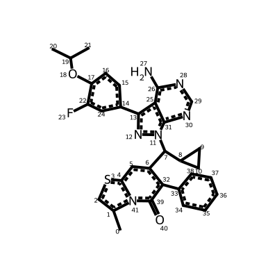 Cc1csc2cc(C(C3CC3)n3nc(-c4ccc(OC(C)C)c(F)c4)c4c(N)ncnc43)c(-c3ccccc3)c(=O)n12